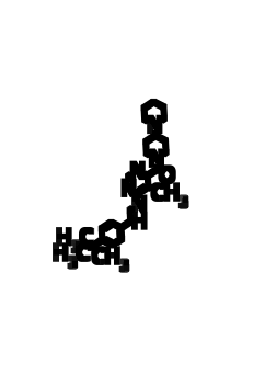 Cc1c(NCCc2ccc(C(C)(C)C)cc2)ncnc1C(=O)N1CCC(N2CCCCC2)CC1